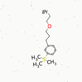 CC(C)CCOCCCc1cccc(S(C)(C)C)c1